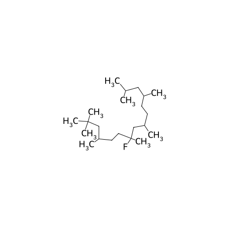 CC(C)CC(C)CCC(C)CC(C)(F)CCC(C)CC(C)(C)C